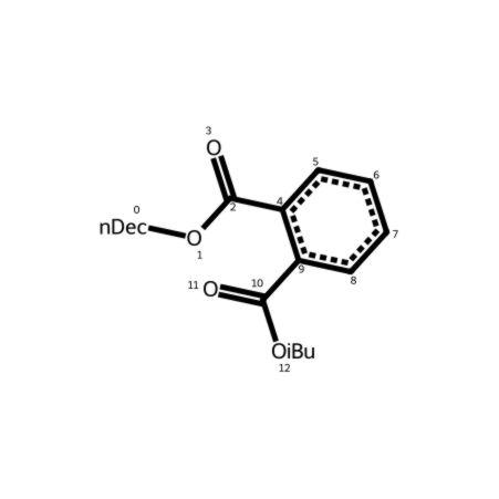 CCCCCCCCCCOC(=O)c1ccccc1C(=O)OCC(C)C